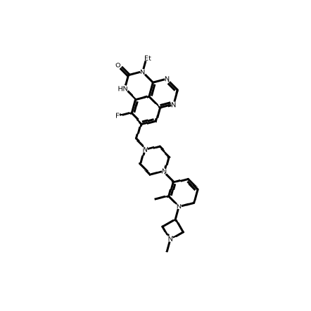 CCN1C(=O)Nc2c(F)c(CN3CCN(C4=C(C)N(C5CN(C)C5)CC=C4)CC3)cc3ncnc1c23